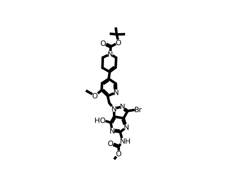 COC(=O)Nc1nc(O)c2c(n1)c(Br)nn2Cc1ncc(C2=CCN(C(=O)OC(C)(C)C)CC2)cc1OC